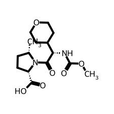 COC(=O)N[C@H](C(=O)N1[C@@H](C)CC[C@H]1C(=O)O)C1CCOCC1